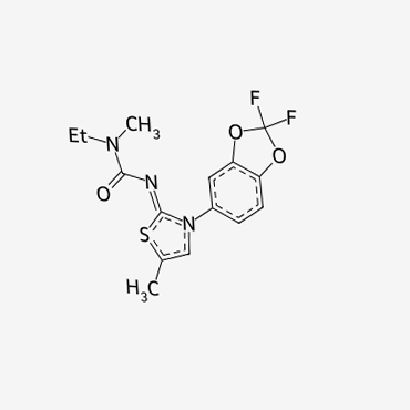 CCN(C)C(=O)N=c1sc(C)cn1-c1ccc2c(c1)OC(F)(F)O2